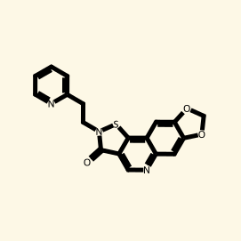 O=c1c2cnc3cc4c(cc3c2sn1CCc1ccccn1)OCO4